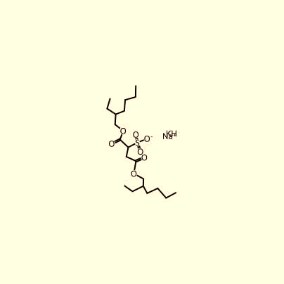 CCCCC(CC)COC(=O)CC(C(=O)OCC(CC)CCCC)S(=O)(=O)[O-].[KH].[Na+]